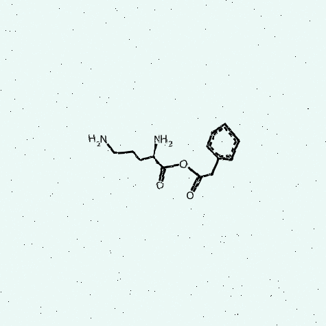 NCCC[C@@H](N)C(=O)OC(=O)Cc1ccccc1